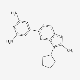 Cc1nc2ccc(-c3cc(N)nc(N)c3)nc2n1C1CCCC1